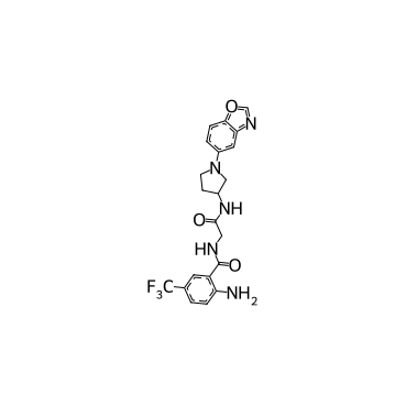 Nc1ccc(C(F)(F)F)cc1C(=O)NCC(=O)NC1CCN(c2ccc3ocnc3c2)C1